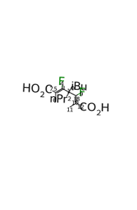 [CH2]C(CC)C(CCC)(C(F)=C(C)C(=O)O)C(F)=C(C)C(=O)O